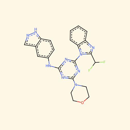 FC(F)c1nc2ccccc2n1-c1nc(Nc2ccc3[nH]ncc3c2)nc(N2CCOCC2)n1